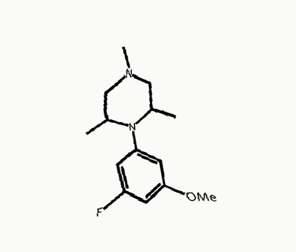 COc1cc(F)cc(N2C(C)CN(C)CC2C)c1